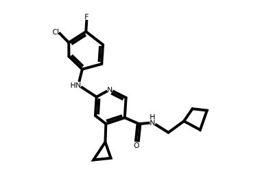 O=C(NCC1CCC1)c1cnc(Nc2ccc(F)c(Cl)c2)cc1C1CC1